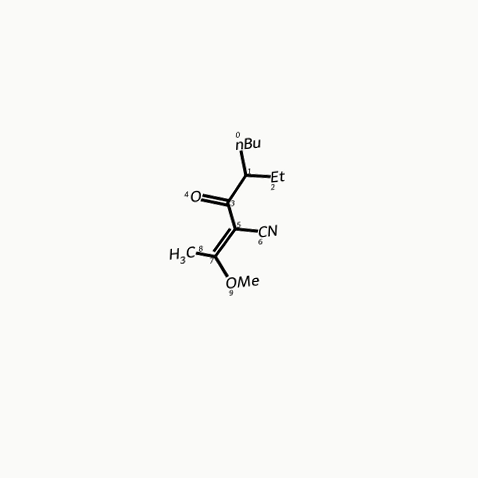 CCCCC(CC)C(=O)/C(C#N)=C(\C)OC